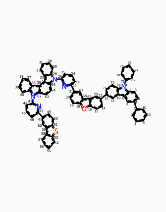 c1ccc(-c2ccc3c(c2)c2cc(-c4ccc5oc6ccc(-c7cccc(-n8c9ccccc9c9c%10c%11ccccc%11n(-c%11cccc(-c%12ccc%13sc%14ccccc%14c%13c%12)n%11)c%10ccc98)n7)cc6c5c4)ccc2n3-c2ccccc2)cc1